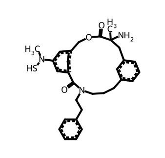 CN(S)c1cc2cc(c1)C(=O)N(CCc1ccccc1)CCCc1cccc(c1)CC(C)(N)C(=O)OC2